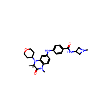 C[C@@H]1C(=O)N(C)c2ccc(Nc3ccc(C(=O)NC4CN(C)C4)cc3)cc2N1C1CCOCC1